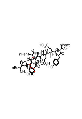 CCCCCC(NC(=O)C(Cc1ccc(O)cc1)NC(=O)C(CCC(=O)O)NC(=O)C(CCC(=O)O)NC(=O)C(NC(=O)C(CCCCC)NC(=O)C(Cc1ccccc1)NC(=O)C(CC=O)NC(=O)C(CC(C)=O)NC(=O)C(C)CCCC)C(C)O)C(C)=O